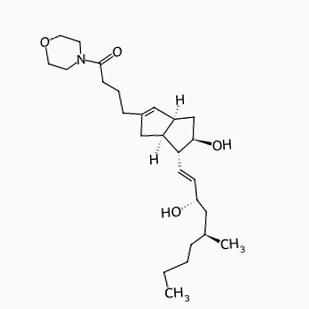 CCCC[C@H](C)C[C@H](O)/C=C/[C@@H]1[C@H]2CC(CCCC(=O)N3CCOCC3)=C[C@H]2C[C@H]1O